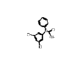 O=C(O)N(c1ccccc1)c1cc(Cl)cc(Cl)c1